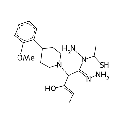 C/C=C(\O)C(/C(=N/N)N(N)C(C)S)N1CCC(c2ccccc2OC)CC1